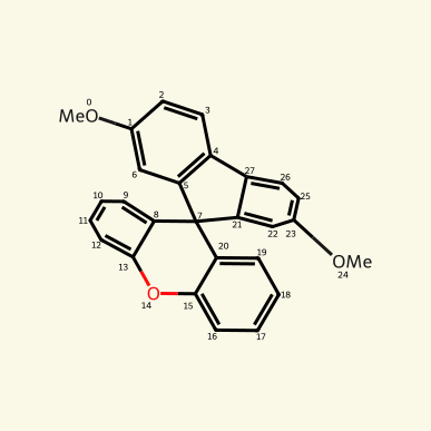 COc1ccc2c(c1)C1(c3ccccc3Oc3ccccc31)c1cc(OC)ccc1-2